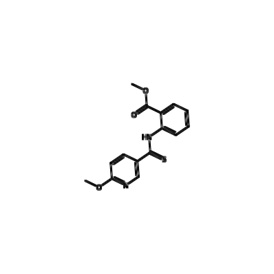 COC(=O)c1ccccc1NC(=S)c1ccc(OC)nc1